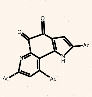 CC(=O)c1cc(C(C)=O)c2c(n1)C(=O)C(=O)c1cc(C(C)=O)[nH]c1-2